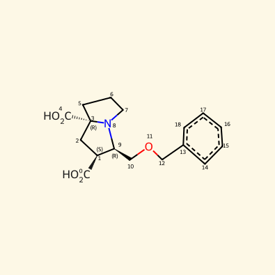 O=C(O)[C@H]1C[C@@]2(C(=O)O)CCCN2[C@H]1COCc1ccccc1